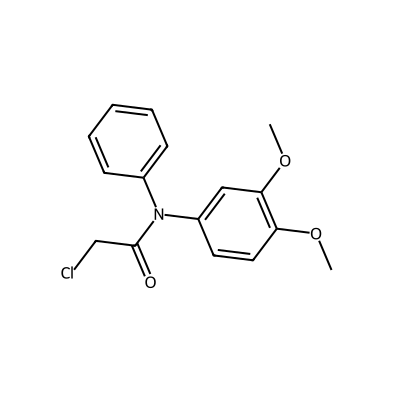 COc1ccc(N(C(=O)CCl)c2ccccc2)cc1OC